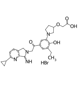 Br.CCc1cc(C(=O)CN2Cc3ccc(C4CC4)nc3C2=N)cc(N2CCC(OCC(=O)O)C2)c1O